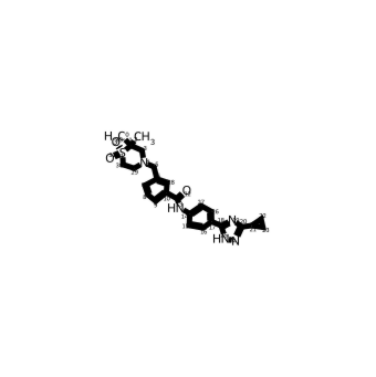 CC1(C)CN(Cc2cccc(C(=O)Nc3ccc(-c4nc(C5CC5)n[nH]4)cc3)c2)CCS1(=O)=O